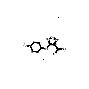 N=C(Cl)c1nonc1NC1CCC(O)CC1